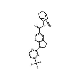 N#CN1C2CCC1C(NC(=O)c1ccc3c(c1)CCN3c1nccc(C(F)(F)F)n1)C2